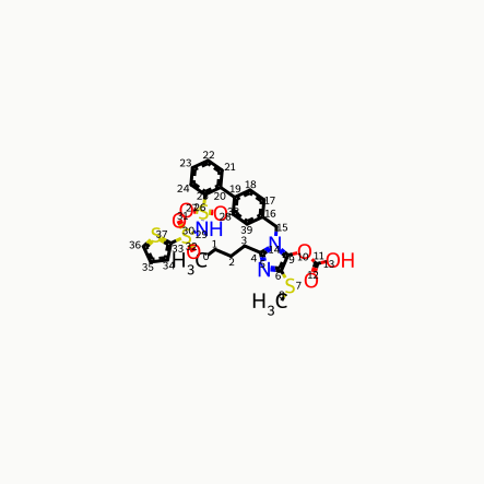 CCCCc1nc(SC)c(OC(=O)O)n1Cc1ccc(-c2ccccc2S(=O)(=O)NS(=O)(=O)c2cccs2)cc1